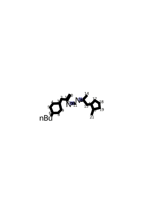 C=C(CC1CCC(CCCC)CC1)/N=C\N=C(\C)CC1CCCC1C